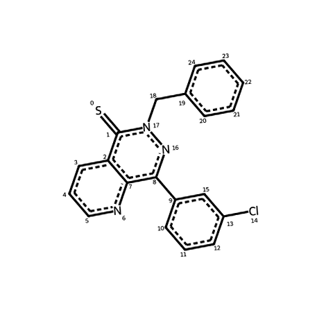 S=c1c2cccnc2c(-c2cccc(Cl)c2)nn1Cc1ccccc1